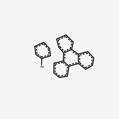 CC(=O)c1ccccc1.c1ccc2c(c1)c1ccccc1c1ccccc21